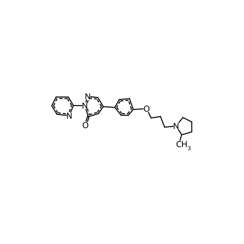 CC1CCCN1CCCOc1ccc(-c2cnn(-c3ccccn3)c(=O)c2)cc1